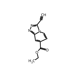 C#Cc1nnc2cc(C(=O)OCC)ccn12